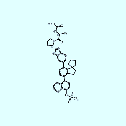 COC(=O)N[C@H](C(=O)N1CCC[C@H]1c1nc2ccc(-c3ccc(-c4ccc(OS(=O)(=O)C(F)(F)F)c5ccccc45)c4c3C3(CCCC3)CC4)cc2[nH]1)C(C)C